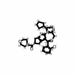 O=C([C@H]1Cc2sc3c(c2C1)C(c1ccccc1Cl)=NCc1nnc(C2CCCC2)n1-3)N1CCOCC1